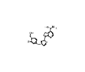 NC(O)c1cccc2c1CCN2c1cc(Cc2ccc(CO)c(F)c2)ccn1